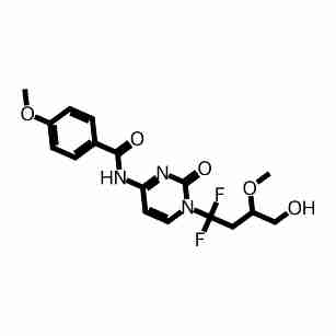 COc1ccc(C(=O)Nc2ccn(C(F)(F)CC(CO)OC)c(=O)n2)cc1